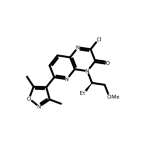 CC[C@H](COC)n1c(=O)c(Cl)nc2ccc(-c3c(C)noc3C)nc21